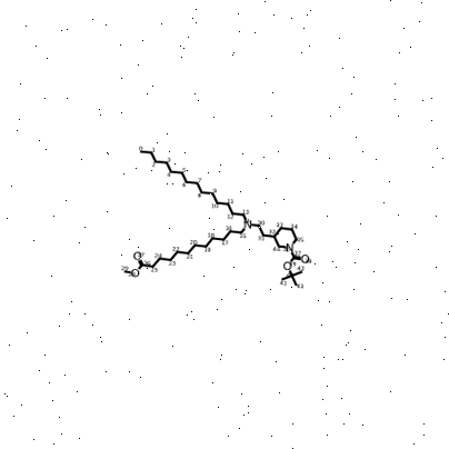 CCCCCCCCCCCCCCN(CCCCCCCCCCCC(=O)OC)CCC1CCCN(C(=O)OC(C)(C)C)C1